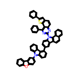 c1ccc(-c2cc3ccc4nc(-n5c6ccc(-c7cccc8c7c7ccccc7n8-c7ccc8oc9ccccc9c8c7)cc6c6ccc7ccccc7c65)nc(-c5ccccc5)c4c3s2)cc1